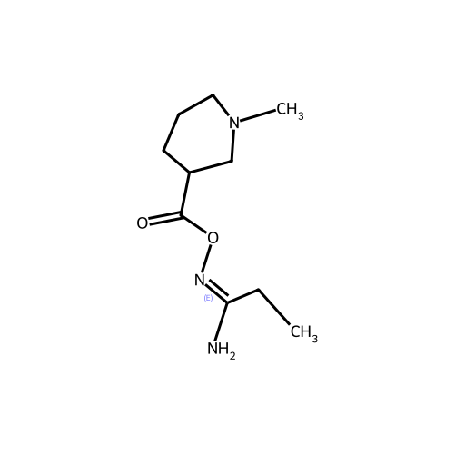 CC/C(N)=N\OC(=O)C1CCCN(C)C1